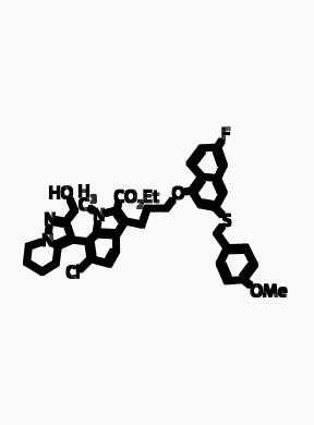 CCOC(=O)c1c(CCCOc2cc(SCc3ccc(OC)cc3)cc3cc(F)ccc23)c2ccc(Cl)c(-c3c(CO)nn4c3CCCC4)c2n1C